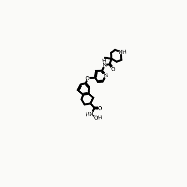 CC1(C(=O)Nc2cc(Oc3ccc4c(c3)CC(C(=O)NO)CC4)ccn2)CCNCC1